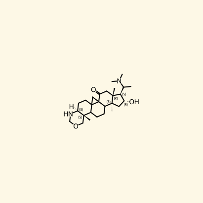 CC([C@H]1[C@H](O)C[C@@]2(C)C3CCC4C5(CC[C@@H]6NCOC[C@@]46C)CC35C(=O)C[C@]12C)N(C)C